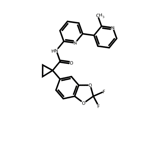 Cc1ncccc1-c1cccc(NC(=O)C2(c3ccc4c(c3)OC(F)(F)O4)CC2)n1